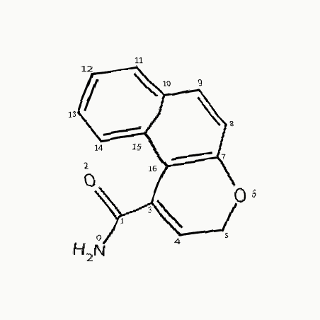 NC(=O)C1=CCOc2ccc3ccccc3c21